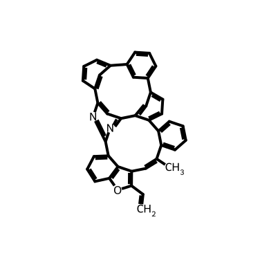 C=Cc1oc2cccc3c4nc5cc(n4)c4cc(ccc4c4ccccc4c(C)cc1c23)c1cccc(c1)c1cccc5c1